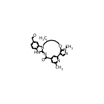 Cc1cc2cc(n1)-c1cnn(C)c1OCCC[C@@H](C)CN1/C(=N/C2=O)Nc2ccc(C=O)cc21